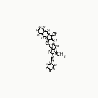 Cn1c(C#Cc2ccccc2)nc2oc(C=C3C(=O)c4cc5ccccc5cc4C3=O)cc21